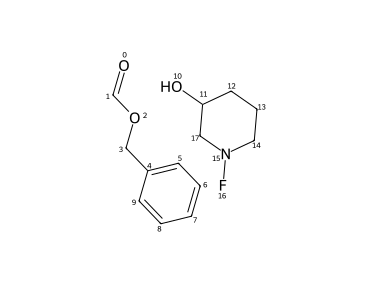 O=COCc1ccccc1.OC1CCCN(F)C1